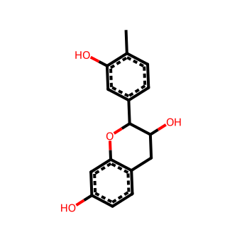 Cc1ccc(C2Oc3cc(O)ccc3CC2O)cc1O